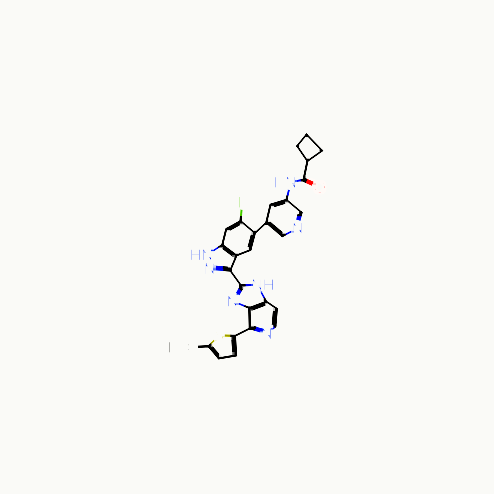 Cc1ccc(-c2nccc3[nH]c(-c4n[nH]c5cc(F)c(-c6cncc(NC(=O)C7CCC7)c6)cc45)nc23)s1